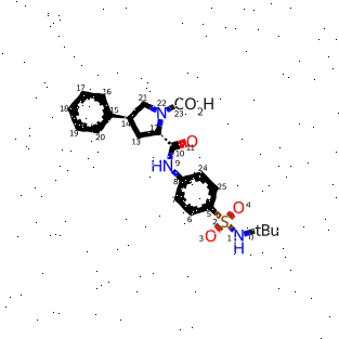 CC(C)(C)NS(=O)(=O)c1ccc(NC(=O)[C@@H]2C[C@@H](c3ccccc3)CN2C(=O)O)cc1